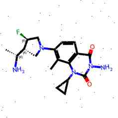 Cc1c(N2C[C@H]([C@@H](C)N)[C@@H](F)C2)ccc2c(=O)n(N)c(=O)n(C3CC3)c12